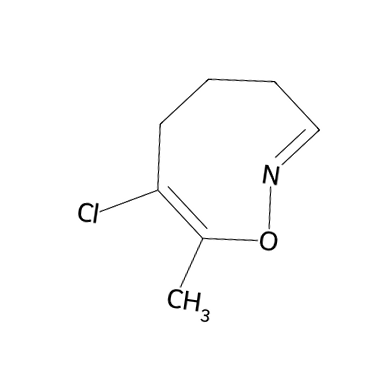 C/C1=C(\Cl)CCC/C=N/O1